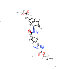 CCCCOC(=O)NC(=N)c1ccc(C(=O)Nc2ccc3c(c2)CC(CC(=O)OCC)CC3)cc1